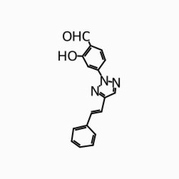 O=Cc1ccc(-n2ncc(C=Cc3ccccc3)n2)cc1O